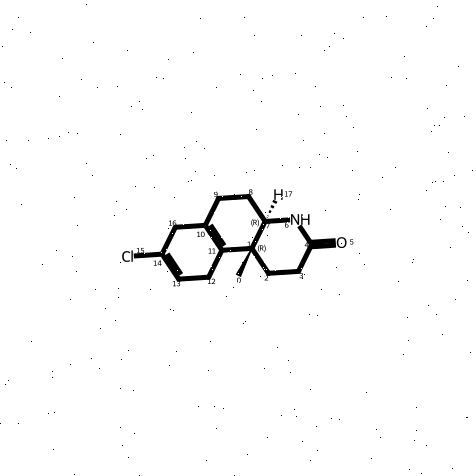 C[C@]12CCC(=O)N[C@@H]1CCC1=C2CC=C(Cl)C1